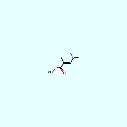 CCCOC(=O)/C(C)=C/N(C)C